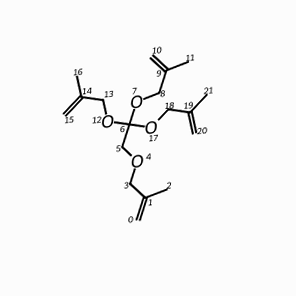 C=C(C)COCC(OCC(=C)C)(OCC(=C)C)OCC(=C)C